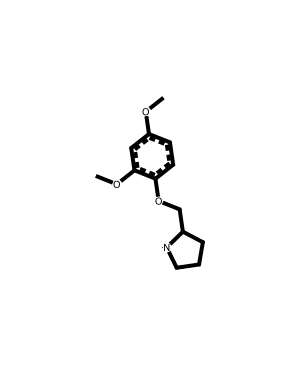 COc1ccc(OCC2CCC[N]2)c(OC)c1